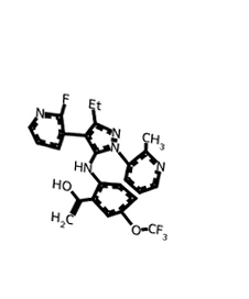 C=C(O)c1cc(OC(F)(F)F)ccc1Nc1c(-c2cccnc2F)c(CC)nn1-c1cccnc1C